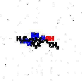 CCC[C@H](O)c1cc(C)c(-c2cc3cnc(NC)cc3n3ncnc23)cn1